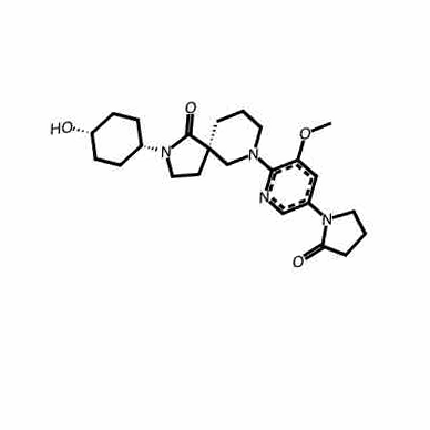 COc1cc(N2CCCC2=O)cnc1N1CCC[C@@]2(CCN([C@H]3CC[C@@H](O)CC3)C2=O)C1